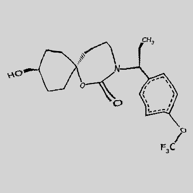 C[C@@H](c1ccc(OC(F)(F)F)cc1)N1CC[C@]2(CC[C@H](O)CC2)OC1=O